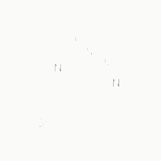 CN(C)c1cc(Br)cnc1S(C)(=O)=O